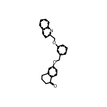 O=C1CCCc2cc(OCc3cccc(OCc4ccc5ccccc5n4)c3)ccc21